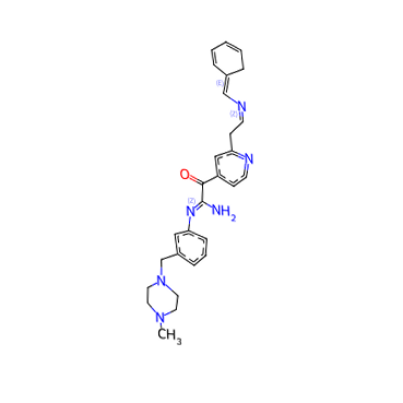 CN1CCN(Cc2cccc(/N=C(\N)C(=O)c3ccnc(C/C=N\C=C4\C=CC=CC4)c3)c2)CC1